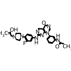 C=CC(=O)Nc1cccc(-n2cnc(=O)c3cnc(Nc4ccc(N5CCN(C[C@@H](C)O)CC5)c(F)c4)nc32)c1